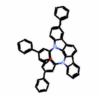 c1ccc(-c2cccc(-n3c4ccccc4c4ccc5c6cc(-c7ccccc7)ccc6n(-c6cccc(-c7ccccc7)c6)c5c43)c2)cc1